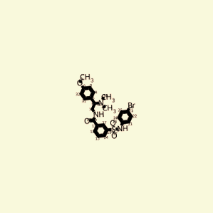 COc1ccc(C(CNC(=O)c2cccc(S(=O)(=O)Nc3ccc(Br)cc3)c2)N(C)C)cc1